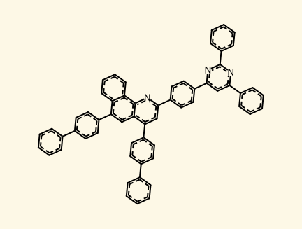 c1ccc(-c2ccc(-c3cc4c(-c5ccc(-c6ccccc6)cc5)cc(-c5ccc(-c6cc(-c7ccccc7)nc(-c7ccccc7)n6)cc5)nc4c4ccccc34)cc2)cc1